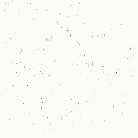 CC(C)(C)NC=O.O=C1Nc2ccc(Cl)nc2C1C(=O)c1cc(Cl)cs1